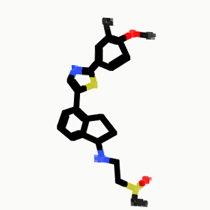 CN[S+]([O-])CCNC1CCc2c(-c3cnc(-c4ccc(OC(C)C)c(C#N)c4)s3)cccc21